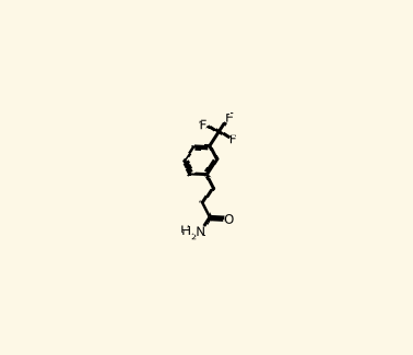 NC(=O)CCc1cccc(C(F)(F)F)c1